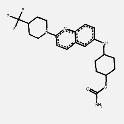 NC(=O)OC1CCC(Nc2ccc3nc(N4CCC(C(F)(F)F)CC4)ccc3c2)CC1